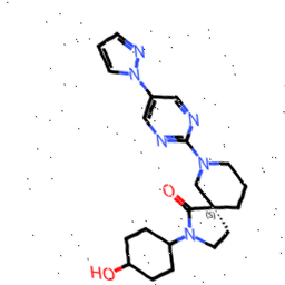 O=C1N(C2CCC(O)CC2)CC[C@]12CCCN(c1ncc(-n3cccn3)cn1)C2